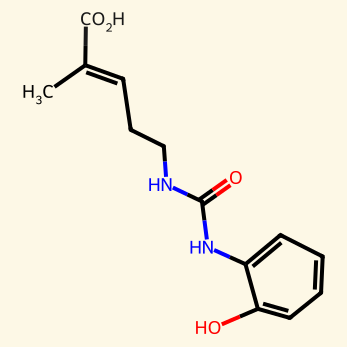 CC(=CCCNC(=O)Nc1ccccc1O)C(=O)O